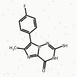 Cc1nc2c(=O)[nH]c(S)nn2c1-c1ccc(F)cc1